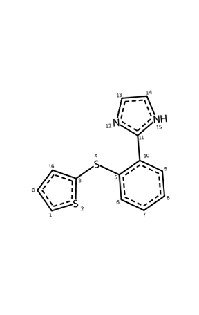 c1csc(Sc2ccccc2-c2ncc[nH]2)c1